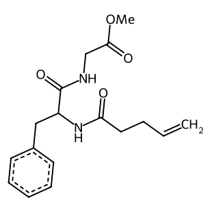 C=CCCC(=O)NC(Cc1ccccc1)C(=O)NCC(=O)OC